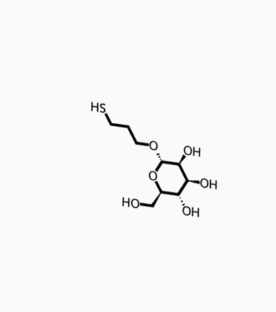 OC[C@H]1O[C@H](OCCCS)[C@@H](O)[C@@H](O)[C@@H]1O